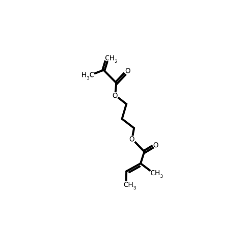 C=C(C)C(=O)OCCCOC(=O)C(C)=CC